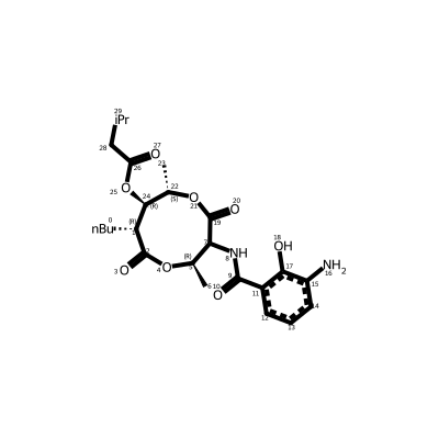 CCCC[C@H]1C(=O)O[C@H](C)C(NC(=O)c2cccc(N)c2O)C(=O)O[C@@H](C)[C@@H]1OC(=O)CC(C)C